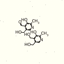 Cc1ncc(CO)c(C=O)c1O.Cc1ncc(CO)c(CO)c1O